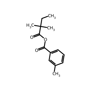 CCC(C)(C)C(=O)OC(=O)c1cccc(C)c1